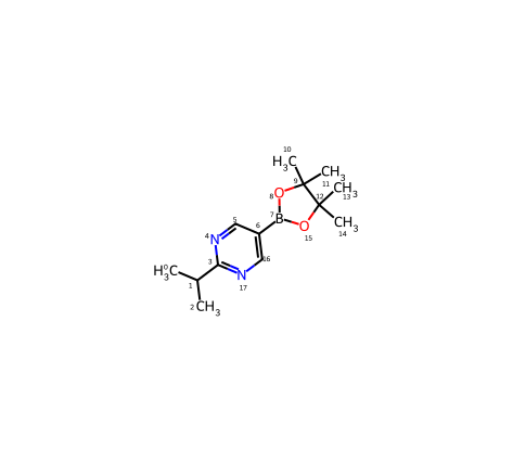 CC(C)c1ncc(B2OC(C)(C)C(C)(C)O2)cn1